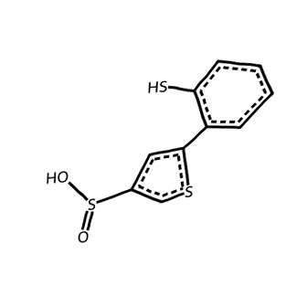 O=S(O)c1csc(-c2ccccc2S)c1